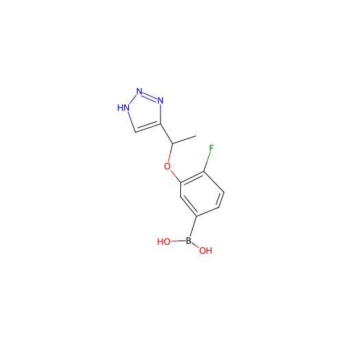 CC(Oc1cc(B(O)O)ccc1F)c1c[nH]nn1